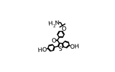 CC(C)(CN)Oc1ccc(C(=O)c2c(-c3ccc(O)cc3)sc3cc(O)ccc23)cc1